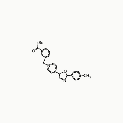 Cc1ccc(C2N=CC(c3cc[n+](Cc4cccc(C(=O)C(C)(C)C)c4)cc3)O2)cc1